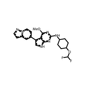 COc1nc(NC2CCC(OC(F)F)CC2)nc2[nH]cc(-c3ccn4nccc4c3)c12